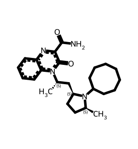 C[C@H]1CC[C@@H](C[C@H](C)n2c(=O)c(C(N)=O)nc3ccccc32)N1C1CCCCCCC1